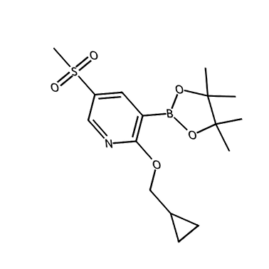 CC1(C)OB(c2cc(S(C)(=O)=O)cnc2OCC2CC2)OC1(C)C